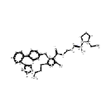 CCCCc1nc(Cl)c(C(=O)OCO/N=[N+](\O)N2CCC[C@H]2CO)n1Cc1ccc(-c2ccccc2-c2nnn[nH]2)cc1